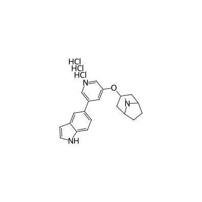 CN1C2CCC1CC(Oc1cncc(-c3ccc4[nH]ccc4c3)c1)C2.Cl.Cl.Cl